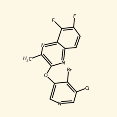 Cc1nc2c(F)c(F)ccc2nc1Oc1cncc(Cl)c1Br